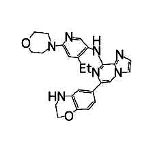 CCc1cc(N2CCOCC2)ncc1Nc1nc(-c2ccc3c(c2)NCCO3)cn2ccnc12